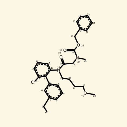 CCc1cccc(-c2c(Cl)cccc2N(CCCCOC)C(=O)CN(C)C(=O)OCc2ccccc2)c1